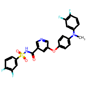 CN(c1ccc(Oc2cncc(C(=O)NS(=O)(=O)c3ccc(F)c(F)c3)c2)cc1)c1ccc(F)c(F)c1